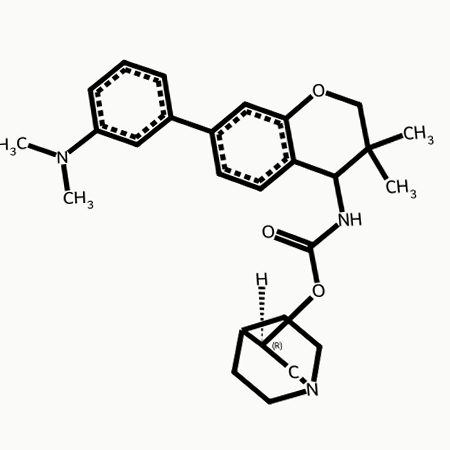 CN(C)c1cccc(-c2ccc3c(c2)OCC(C)(C)C3NC(=O)O[C@H]2CN3CCC2CC3)c1